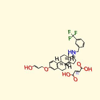 C[C@]12CC[C@@H]3c4ccc(OCC=CO)cc4CC[C@H]3[C@@H]1CC[C@@H]2NCc1cccc(C(F)(F)F)c1.O=C(O)/C=C/C(=O)O